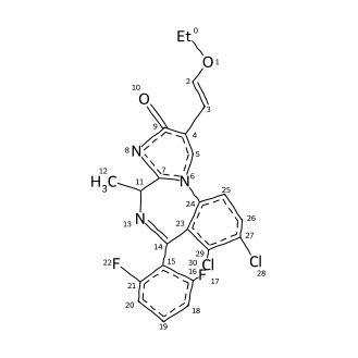 CCO/C=C/c1cn2c(nc1=O)C(C)N=C(c1c(F)cccc1F)c1c-2ccc(Cl)c1Cl